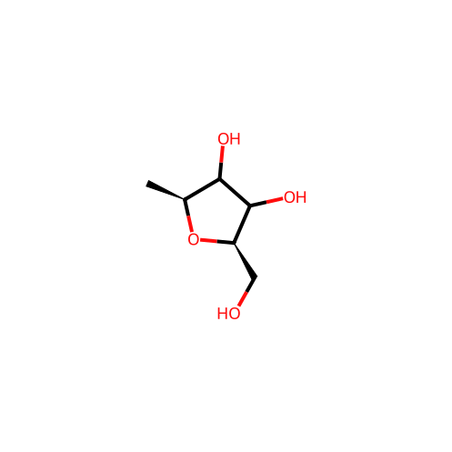 C[C@@H]1O[C@H](CO)C(O)C1O